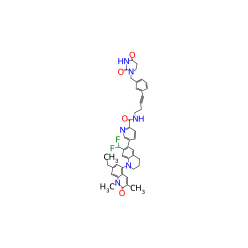 CCc1cc(N2CCCc3cc(-c4ccc(C(=O)NCCC#Cc5cccc(CN6CCC(=O)NC6=O)c5)nc4)c(C(F)F)cc32)c2cc(C)c(=O)n(C)c2c1